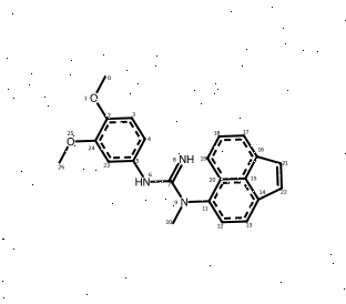 COc1ccc(NC(=N)N(C)c2ccc3c4c(cccc24)C=C3)cc1OC